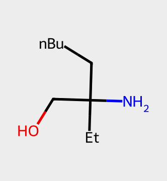 CCCCCC(N)(CC)CO